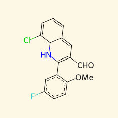 COc1ccc(F)cc1C1=C(C=O)C=C2C=CC=C(Cl)C2N1